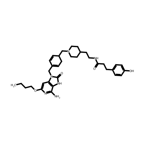 CCCCOc1cc2c([nH]c(=O)n2CC2=CCC(CN3CCC(CCNC(=O)CCc4ccc(O)cc4)CC3)C=C2)c(N)n1